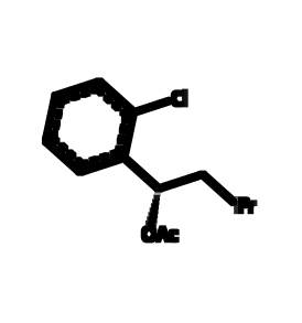 CC(=O)O[C@@H](CC(C)C)c1ccccc1Cl